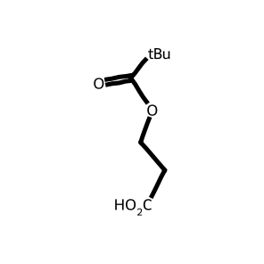 CC(C)(C)C(=O)OCCC(=O)O